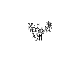 FC(F)(F)c1cc(Nc2nc(NC3CCOCC3)nc(-c3cccc(C(F)(F)F)n3)n2)ccn1